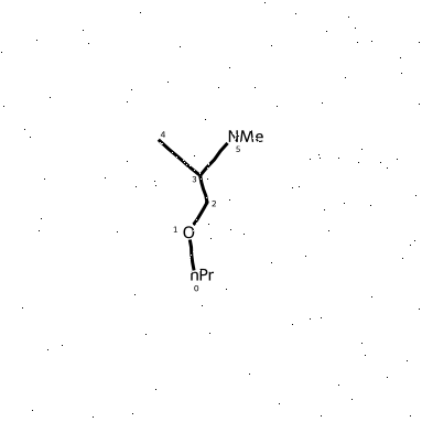 CCCOCC(C)NC